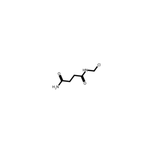 NC(=O)CCC(=O)NCCl